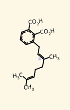 CC(C)=CCC/C(C)=C/Cc1cccc(C(=O)O)c1C(=O)O